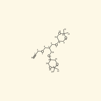 C#CCOCC(COC1COC(C)(C)OC1)COC1COC(C)(C)OC1